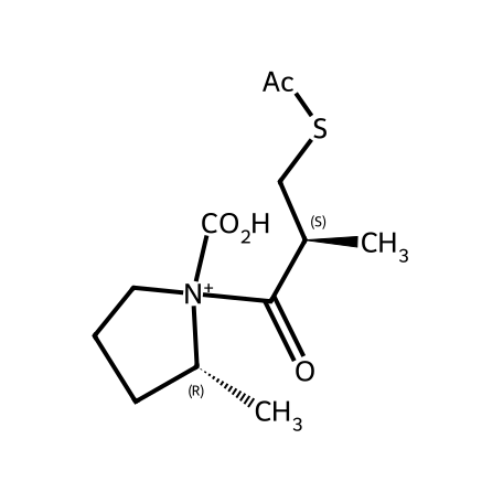 CC(=O)SC[C@@H](C)C(=O)[N+]1(C(=O)O)CCC[C@H]1C